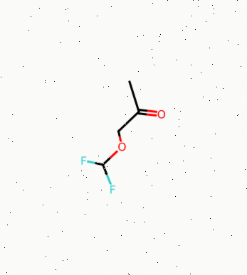 CC(=O)COC(F)F